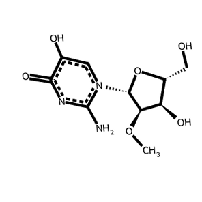 CO[C@@H]1[C@H](O)[C@@H](CO)O[C@H]1n1cc(O)c(=O)nc1N